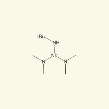 C[N](C)[Nb]([NH]C(C)(C)C)[N](C)C